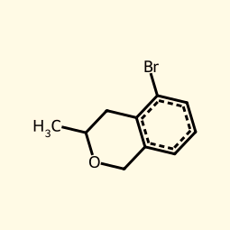 CC1Cc2c(Br)cccc2CO1